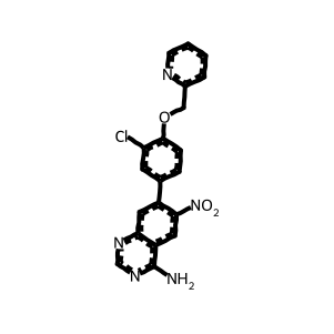 Nc1ncnc2cc(-c3ccc(OCc4ccccn4)c(Cl)c3)c([N+](=O)[O-])cc12